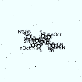 CCCCCCCCc1ccc(C2(c3ccc(C)cc3)c3cc(C4=CC=C(C=C(C#N)C#N)/C(=N/S)C4=N)sc3-c3sc4c5c(sc4c32)-c2sc(-c3ccc(C=C(C#N)C#N)c4nsnc34)cc2C5(c2ccc(C)cc2)c2ccc(CCCCCCCC)cc2)cc1